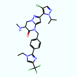 CCn1cc(C(F)(F)F)nc1-c1ccc(CN2C(=O)C(NC)Cn3nc(-c4c(Cl)cnn4C(C)C)cc32)cc1